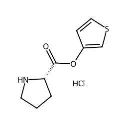 Cl.O=C(Oc1ccsc1)[C@@H]1CCCN1